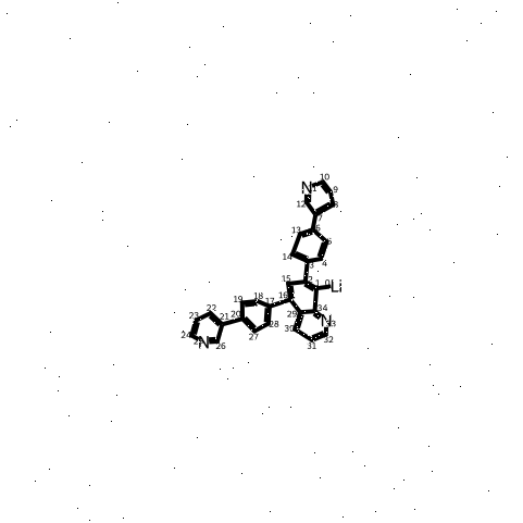 [Li][c]1c(-c2ccc(-c3cccnc3)cc2)cc(-c2ccc(-c3cccnc3)cc2)c2cccnc12